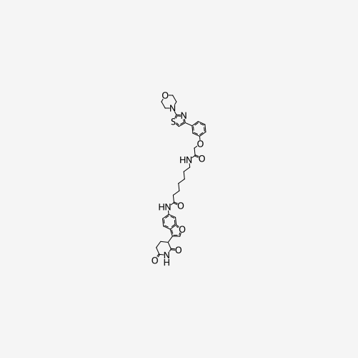 O=C(COc1cccc(-c2csc(N3CCOCC3)n2)c1)NCCCCCCC(=O)Nc1ccc2c(C3CCC(=O)NC3=O)coc2c1